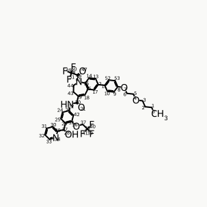 CCCCOCCOc1ccc(-c2ccc3c(c2)C=C(C(=O)Nc2ccc(C(O)c4ccccn4)c(OCC(F)(F)F)c2)CCN3C(=O)C(F)(F)F)cc1